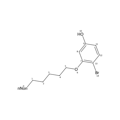 CCCCCCCCCCCCCCOc1cc(O)ccc1Br